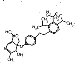 CC1=NC=C(CO)C(CO)(Oc2ccc(CCc3ccc(C(C)C)c(C(C)C)c3C(C)C)cc2)C1O